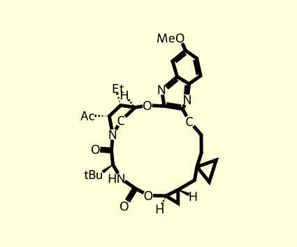 CC[C@@H]1[C@@H]2CN(C(=O)[C@H](C(C)(C)C)NC(=O)O[C@@H]3C[C@H]3CC3(CCCc4nc5ccc(OC)cc5nc4O2)CC3)[C@@H]1C(C)=O